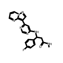 CNC(=O)CC(Nc1cc(-c2cnn3cccnc23)ncn1)c1ccc(F)cc1